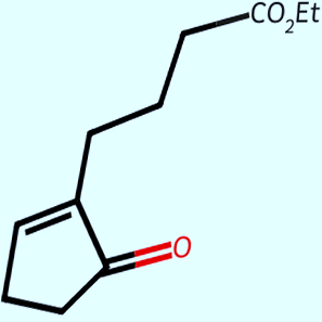 CCOC(=O)CCCC1=CCCC1=O